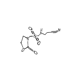 N#CCNS(=O)(=O)N1CCOC1=O